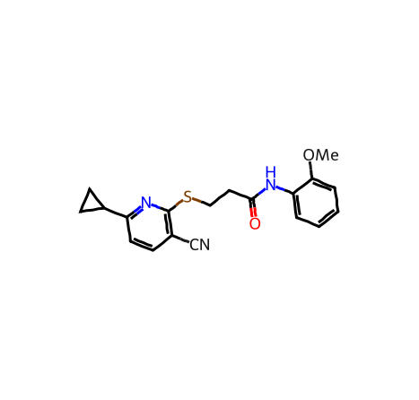 COc1ccccc1NC(=O)CCSc1nc(C2CC2)ccc1C#N